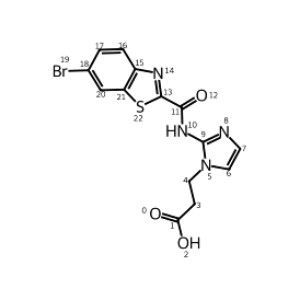 O=C(O)CCn1ccnc1NC(=O)c1nc2ccc(Br)cc2s1